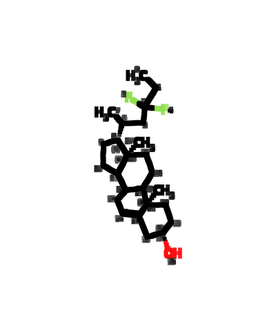 CCC(F)(F)CC(C)[C@H]1CCC2C3CC=C4C[C@@H](O)CC[C@]4(C)C3CC[C@@]21C